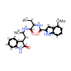 COc1cccc2[nH]c(C(=O)NC(CC(C)C)C(=O)NC(C#N)CC3C(=O)Nc4ccccc43)cc12